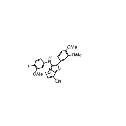 COc1cc(Nc2c(-c3ccc(OC)c(OC)c3)nc3c(C#N)c[nH]n23)ccc1F